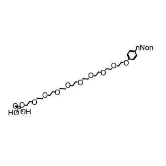 CCCCCCCCCc1ccc(OCCOCCOCCOCCOCCOCCOCCOCCOCCOP(=O)(O)O)cc1